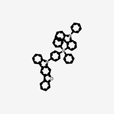 c1ccc(-n2c3ccccc3c3c([Si](c4ccccc4)(c4ccccc4)c4ccc(-n5c6ccccc6c6cc7c(cc65)oc5ccccc57)cc4)cccc32)cc1